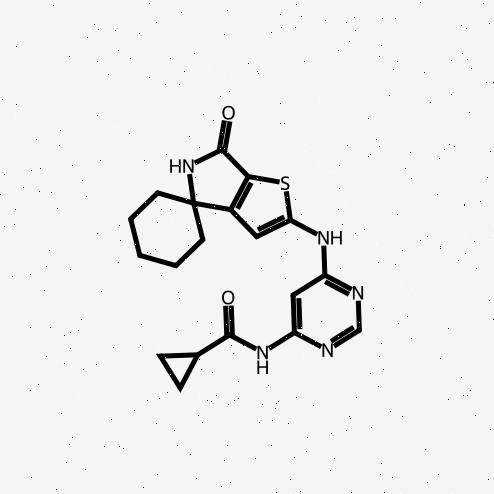 O=C1NC2(CCCCC2)c2cc(Nc3cc(NC(=O)C4CC4)ncn3)sc21